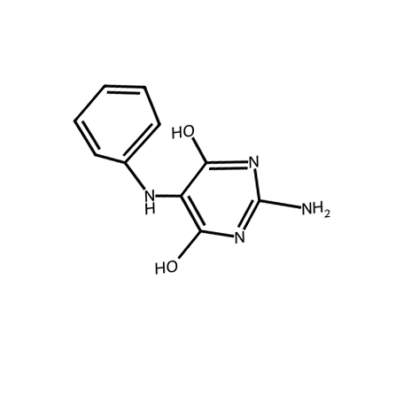 Nc1nc(O)c(Nc2ccccc2)c(O)n1